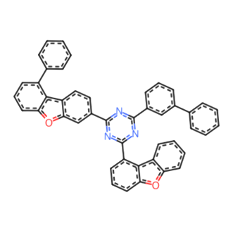 c1ccc(-c2cccc(-c3nc(-c4ccc5c(c4)oc4cccc(-c6ccccc6)c45)nc(-c4cccc5oc6ccccc6c45)n3)c2)cc1